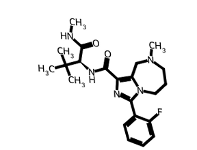 CNC(=O)[C@@H](NC(=O)c1nc(-c2ccccc2F)n2c1CN(C)CCC2)C(C)(C)C